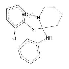 O=C(O)N1CCCCC1(Nc1ccccc1)Sc1ccccc1Cl